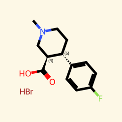 Br.CN1CC[C@H](c2ccc(F)cc2)[C@@H](C(=O)O)C1